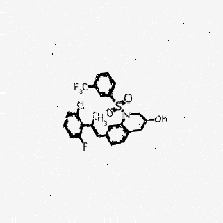 CC(=Cc1ccc2c(c1)N(S(=O)(=O)c1cccc(C(F)(F)F)c1)C[C@@H](O)C2)c1c(F)cccc1Cl